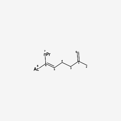 C=C(C)CC/C=C(\CCC)C(C)=O